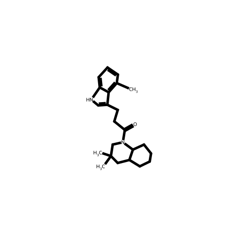 Cc1cccc2[nH]cc(CCC(=O)N3CC(C)(C)CC4CCCCC43)c12